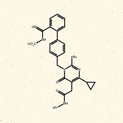 CCCCc1nc(C2CC2)c(CC(=O)NCCC)c(=O)n1Cc1ccc(-c2ccccc2C(=N)NC(=O)O)cc1